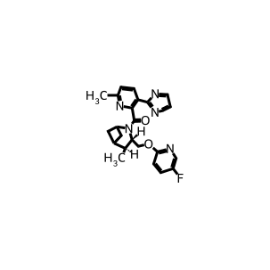 Cc1ccc(-c2ncccn2)c(C(=O)N2C3CC(C3)[C@H](C)[C@H]2COc2ccc(F)cn2)n1